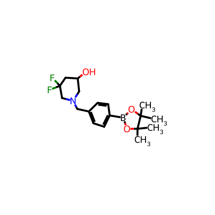 CC1(C)OB(c2ccc(CN3CC(O)CC(F)(F)C3)cc2)OC1(C)C